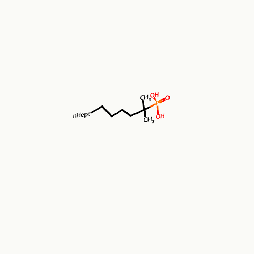 CCCCCCCCCCCC(C)(C)P(=O)(O)O